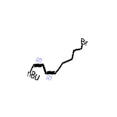 CCCC/C=C\C=C/CCCCBr